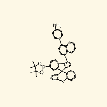 CC1(C)OB(c2ccc3c(c2)C2(c4ccccc4Sc4ccccc42)c2cccc(-c4ccc(-c5ccc(N)cc5)c5ccccc45)c2-3)OC1(C)C